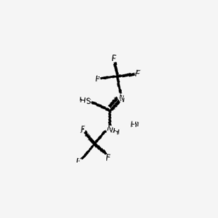 FC(F)(F)N=C(S)NC(F)(F)F.I